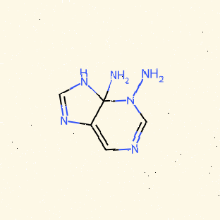 NN1C=NC=C2N=CNC21N